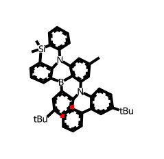 Cc1cc2c3c(c1)N1c4ccccc4[Si](C)(C)c4cccc(c41)B3c1cc(C(C)(C)C)ccc1N2c1ccc(C(C)(C)C)cc1-c1ccccc1